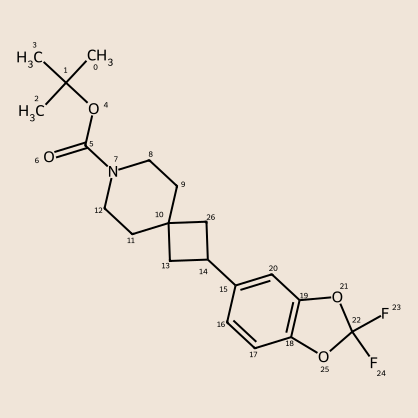 CC(C)(C)OC(=O)N1CCC2(CC1)CC(c1ccc3c(c1)OC(F)(F)O3)C2